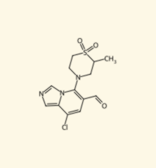 CC1CN(c2c(C=O)cc(Cl)c3cncn23)CCS1(=O)=O